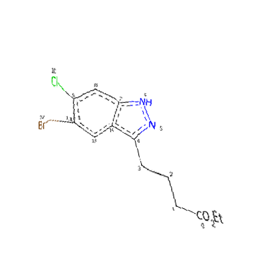 CCOC(=O)CCCc1n[nH]c2cc(Cl)c(Br)cc12